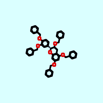 c1ccc(COc2cc(OCc3ccccc3)c3c(c2)O[C@H](c2ccc(OCc4ccccc4)c(OCc4ccccc4)c2)C(OCc2ccccc2)C3)cc1